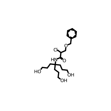 O=C(NC(CCCO)(CCCO)CCCO)C(Cl)COCc1ccccc1